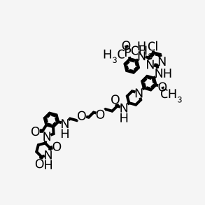 COc1cc(N2CCC(NC(=O)CCOCCOCCNc3cccc4c3CN(C3CCC(=O)NC3=O)C4=O)CC2)ccc1Nc1ncc(Cl)c(Nc2ccccc2P(C)(C)=O)n1